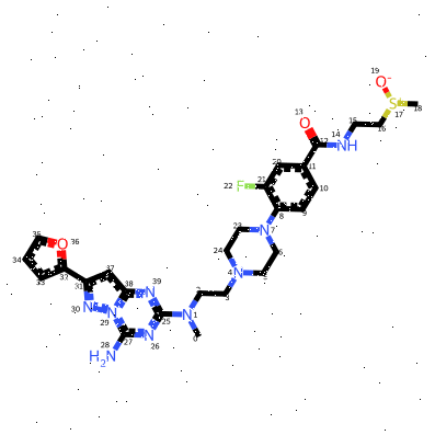 CN(CCN1CCN(c2ccc(C(=O)NCC[S+](C)[O-])cc2F)CC1)c1nc(N)n2nc(-c3ccco3)cc2n1